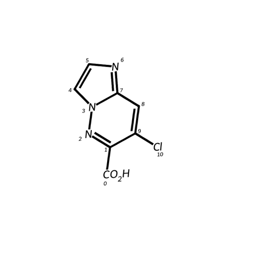 O=C(O)c1nn2ccnc2cc1Cl